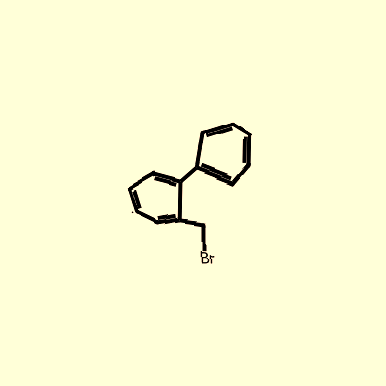 BrCc1c[c]ccc1-c1ccccc1